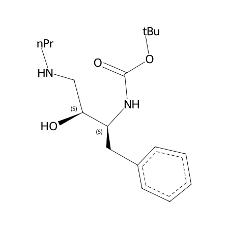 CCCNC[C@H](O)[C@H](Cc1ccccc1)NC(=O)OC(C)(C)C